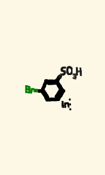 O=S(=O)(O)c1cccc(Br)c1.[In]